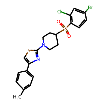 Cc1ccc(-c2csc(N3CCC(S(=O)(=O)c4ccc(Br)cc4Cl)CC3)n2)cc1